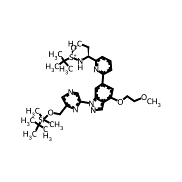 CC[C@H](N[S@+]([O-])C(C)(C)C)c1cccc(-c2cc(OCCOC)c3cnn(-c4cncc(CO[Si](C)(C)C(C)(C)C)n4)c3c2)n1